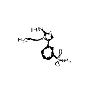 C=CCn1c(-c2cccc(S(N)(=O)=O)c2)csc1=N